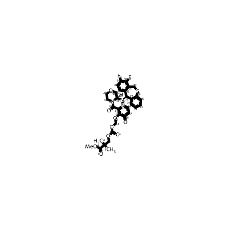 COC(=O)C(C)(C)COC(=O)OCOc1c2n(ccc1=O)N([C@@H]1c3ccccc3SCc3c1ccc(F)c3F)[C@@H]1COCCN1C2=O